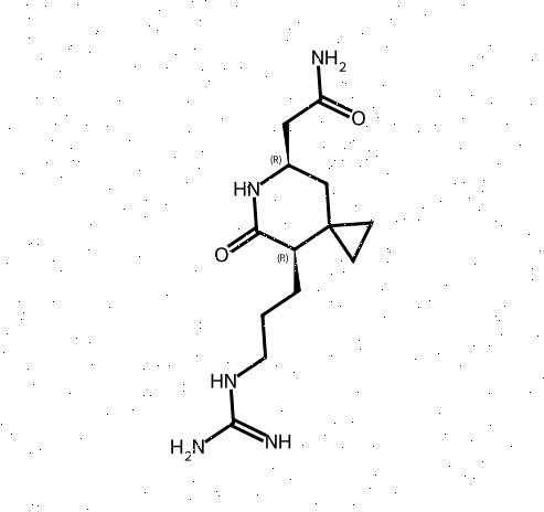 N=C(N)NCCC[C@H]1C(=O)N[C@@H](CC(N)=O)CC12CC2